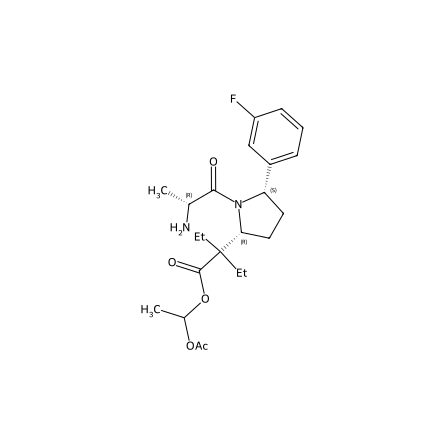 CCC(CC)(C(=O)OC(C)OC(C)=O)[C@H]1CC[C@@H](c2cccc(F)c2)N1C(=O)[C@@H](C)N